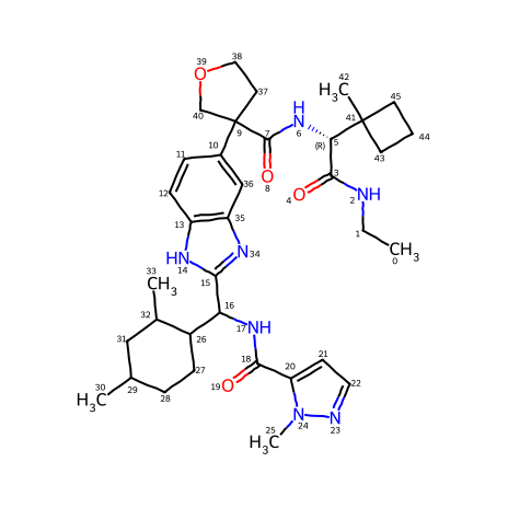 CCNC(=O)[C@H](NC(=O)C1(c2ccc3[nH]c(C(NC(=O)c4ccnn4C)C4CCC(C)CC4C)nc3c2)CCOC1)C1(C)CCC1